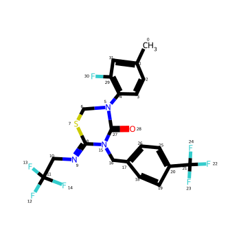 Cc1ccc(N2CSC(=NCC(F)(F)F)N(Cc3ccc(C(F)(F)F)cc3)C2=O)c(F)c1